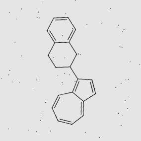 [C]1c2ccccc2CCC1c1ccc2cccccc1-2